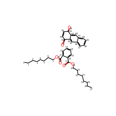 CCCCCCCCOC(=O)c1ccccc1C(=O)OCCCCCCCC.O=C1C=CC(=O)c2cc3ccccc3cc21